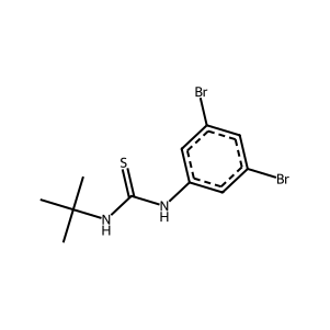 CC(C)(C)NC(=S)Nc1cc(Br)cc(Br)c1